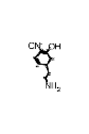 NCCC1C=CC(N=O)=C(O)C1